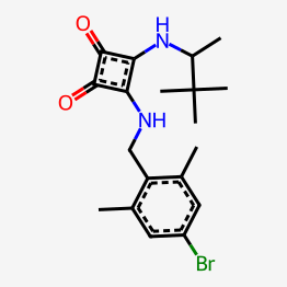 Cc1cc(Br)cc(C)c1CNc1c(NC(C)C(C)(C)C)c(=O)c1=O